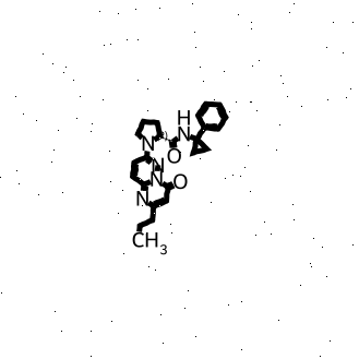 CCCc1cc(=O)n2nc(N3CCC[C@@H]3C(=O)NC3(c4ccccc4)CC3)ccc2n1